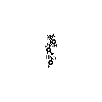 Cc1cc(F)c(C(=O)Nc2cccc(-c3nncn3C(C)C)n2)cc1C1CC1NC(=O)c1ccc(F)cc1